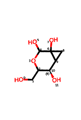 OCC1OC(O)C2(O)CC2[C@H]1O